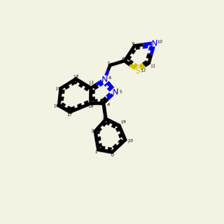 c1ccc(-c2nn(Cc3cncs3)c3ccccc23)cc1